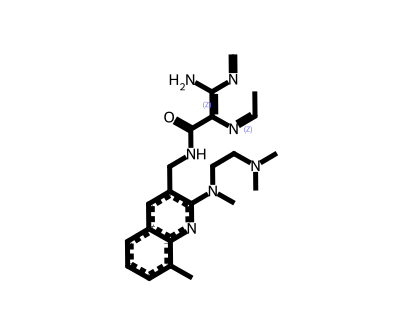 C=N/C(N)=C(\N=C/C)C(=O)NCc1cc2cccc(C)c2nc1N(C)CCN(C)C